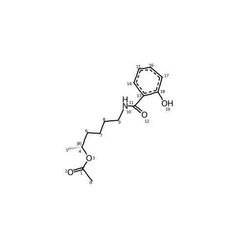 CC(=O)O[C@H](C)CCCCNC(=O)c1ccccc1O